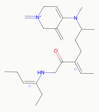 C=C1C[N+](=C)CC=C1N(C)C(C)CC/C(=C\C)C(=O)CN/C(=C\CC)CC